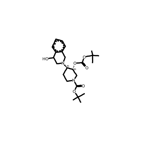 CC(C)(C)OC(=O)O[C@@H]1CN(C(=O)OC(C)(C)C)CC[C@H]1N1Cc2ccccc2C(O)C1